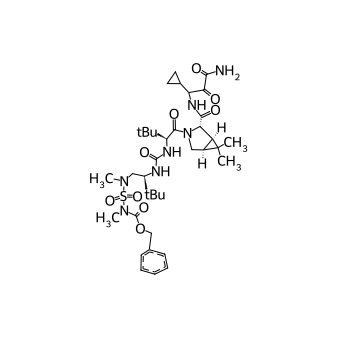 CN(C[C@@H](NC(=O)N[C@H](C(=O)N1C[C@H]2[C@@H]([C@H]1C(=O)NC(C(=O)C(N)=O)C1CC1)C2(C)C)C(C)(C)C)C(C)(C)C)S(=O)(=O)N(C)C(=O)OCc1ccccc1